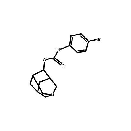 O=C(Nc1ccc(Br)cc1)OC1C2CC3CC1CN(C3)C2